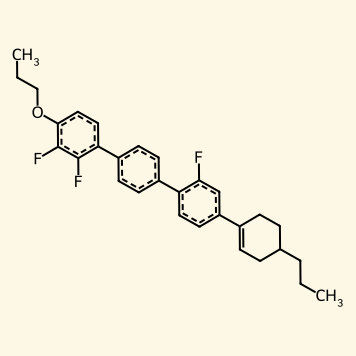 CCCOc1ccc(-c2ccc(-c3ccc(C4=CCC(CCC)CC4)cc3F)cc2)c(F)c1F